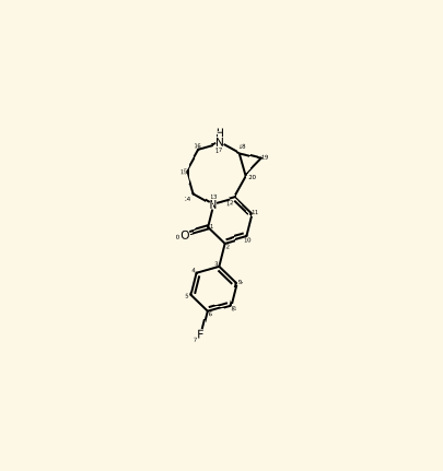 O=c1c(-c2ccc(F)cc2)ccc2n1CCCNC1CC21